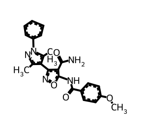 COc1ccc(C(=O)Nc2onc(-c3c(C)nn(-c4ccccc4)c3C)c2C(N)=O)cc1